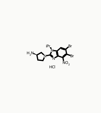 CC(C)n1c(N2CC[C@@H](N)C2)nc2c([N+](=O)[O-])c(Br)c(Br)cc21.Cl